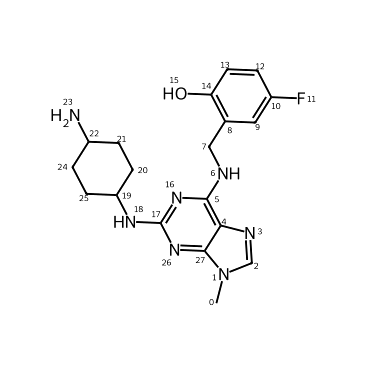 Cn1cnc2c(NCc3cc(F)ccc3O)nc(NC3CCC(N)CC3)nc21